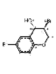 O[C@H]1c2cc(Br)ccc2OC[C@@H]1Br